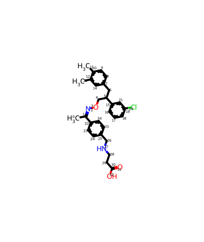 CC(=NOCC(Cc1ccc(C)c(C)c1)c1cccc(Cl)c1)c1ccc(CNCCC(=O)O)cc1